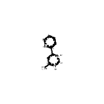 Clc1cc(-c2ccccn2)ncn1